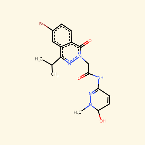 CC(C)c1nn(CC(=O)NC2=NN(C)C(O)C=C2)c(=O)c2ccc(Br)cc12